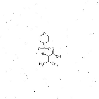 CC(C)C(NS(=O)(=O)N1CCOCC1)C(=O)O